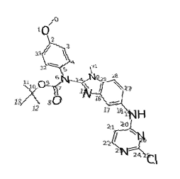 COc1ccc(N(C(=O)OC(C)(C)C)c2nc3cc(Nc4ccnc(Cl)n4)ccc3n2C)cc1